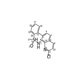 C[SH]1(=O)Nc2c(ccc3ccc(Cl)nc23)-c2ccccc21